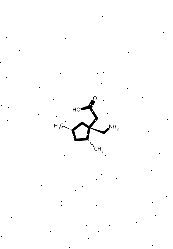 C[C@H]1C[C@@H](C)[C@@](CN)(CC(=O)O)C1